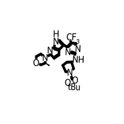 C[C@H]1COCCN1c1ccc2c(-c3nc(N[C@@H]4CCCN(C(=O)OC(C)(C)C)C4)ncc3C(F)(F)F)c[nH]c2n1